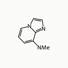 CNc1cccn2ccnc12